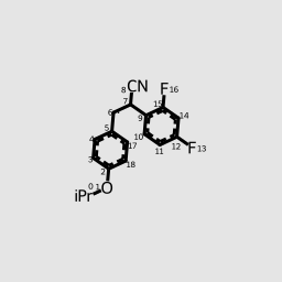 CC(C)Oc1ccc([CH]C(C#N)c2ccc(F)cc2F)cc1